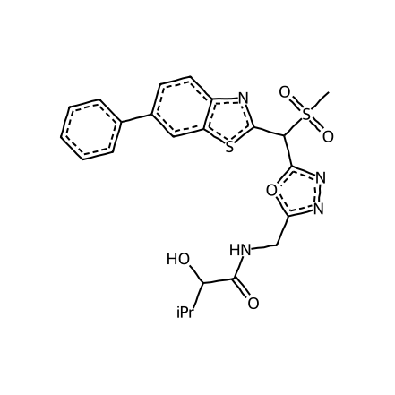 CC(C)C(O)C(=O)NCc1nnc(C(c2nc3ccc(-c4ccccc4)cc3s2)S(C)(=O)=O)o1